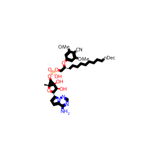 CCCCCCCCCCCCCCCCCCC[C@H](COP(=O)(O)OC1[C@@]2(C)O[C@@H](c3ccc4c(N)ncnn34)[C@H](O)[C@@]12O)Oc1cc(OC)c(C#N)c(OC)c1